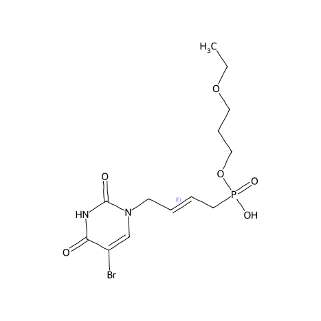 CCOCCCOP(=O)(O)C/C=C/Cn1cc(Br)c(=O)[nH]c1=O